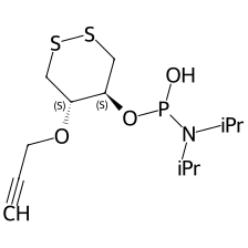 C#CCO[C@@H]1CSSC[C@H]1OP(O)N(C(C)C)C(C)C